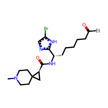 CCC(=O)CCCCC[C@H](NC(=O)[C@H]1CC12CCN(C)CC2)c1ncc(Br)[nH]1